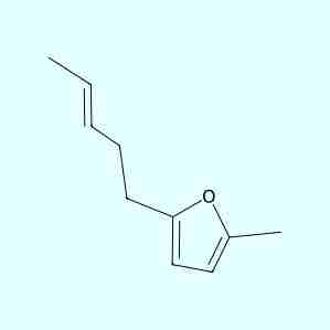 C/C=C/CCc1ccc(C)o1